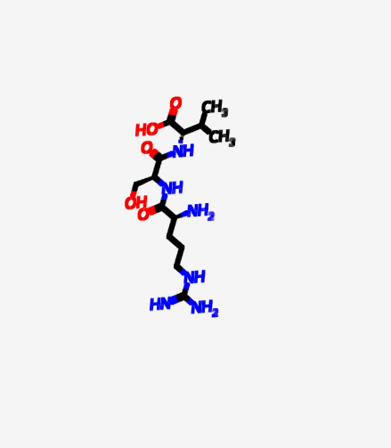 CC(C)[C@H](NC(=O)[C@H](CO)NC(=O)[C@@H](N)CCCNC(=N)N)C(=O)O